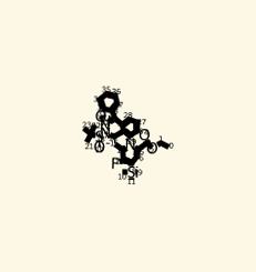 CCOC(=O)c1cc([Si](C)(C)C)c(F)c(C[C@H](N[S@@+]([O-])C(C)(C)C)c2ccccc2-c2noc3ccccc23)n1